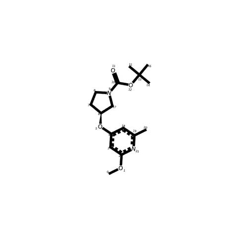 COc1cc(O[C@H]2CCN(C(=O)OC(C)(C)C)C2)cc(C)n1